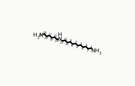 NCCCCCCCCCCCCNCCCCCCN